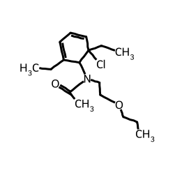 CCCOCCN(C(C)=O)C1C(CC)=CC=CC1(Cl)CC